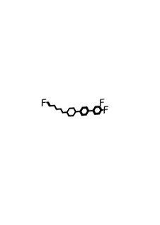 FC=CCCCCC1CCC(c2ccc(-c3ccc(F)c(F)c3)cc2)CC1